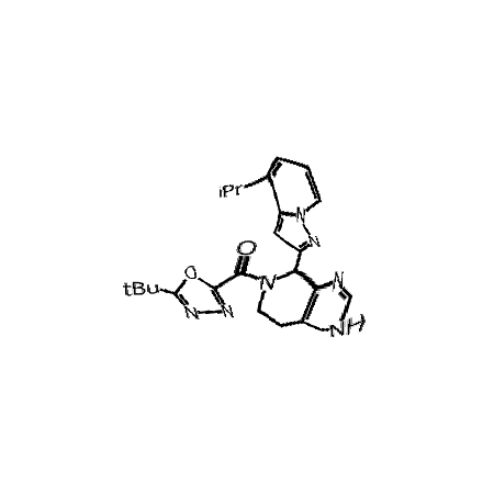 CC(C)c1cccn2nc(C3c4nc[nH]c4CCN3C(=O)c3nnc(C(C)(C)C)o3)cc12